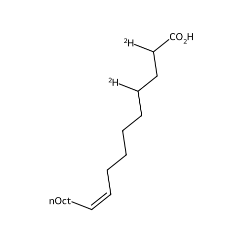 [2H]C(CCCC/C=C\CCCCCCCC)CC([2H])C(=O)O